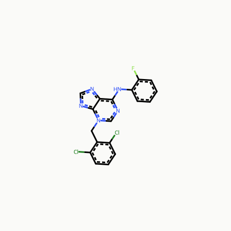 Fc1ccccc1Nc1ncn(Cc2c(Cl)cccc2Cl)c2ncnc1-2